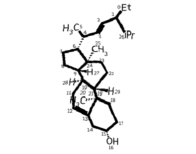 CCC(C=CC(C)[C@H]1CC[C@H]2[C@@H]3CC=C4C[C@@H](O)CC[C@]4(C)[C@H]3CC[C@]12C)C(C)C